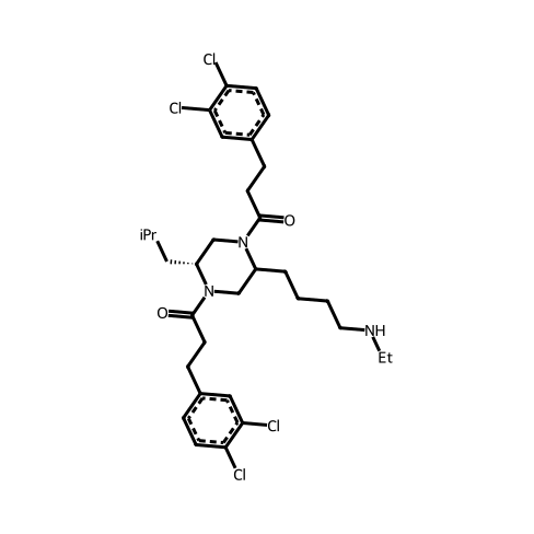 CCNCCCCC1CN(C(=O)CCc2ccc(Cl)c(Cl)c2)[C@H](CC(C)C)CN1C(=O)CCc1ccc(Cl)c(Cl)c1